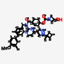 COc1ccc(C23CCC(CN(C(=O)C4CCC(OC(=O)N5CC(O)C5)CC4)c4nccc(-c5cnn(C6(C)CCC6)c5)n4)(CC2)CC3)cc1C